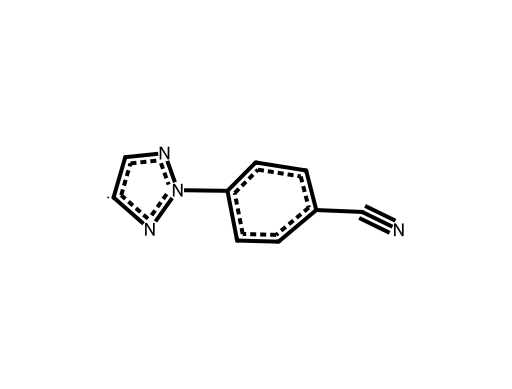 N#Cc1ccc(-n2n[c]cn2)cc1